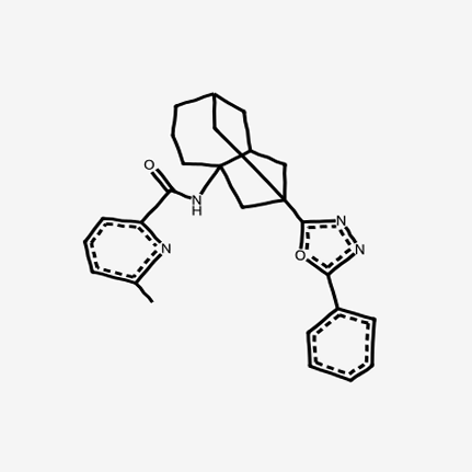 Cc1cccc(C(=O)NC23CCCC4CC2CC(c2nnc(-c5ccccc5)o2)(C4)C3)n1